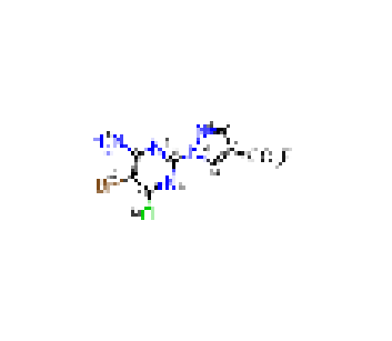 CCOC(=O)c1cnn(-c2nc(N)c(Br)c(Cl)n2)c1